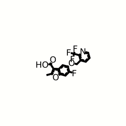 Cc1oc2cc(F)c(OCc3cccnc3C(F)(F)F)cc2c1C(=O)O